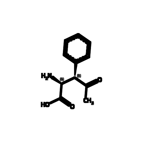 CC(=O)[C@@H](c1ccccc1)[C@H](N)C(=O)O